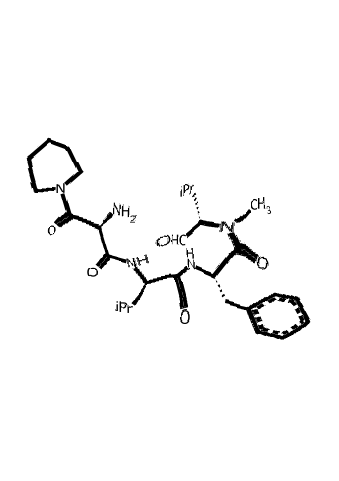 CC(C)[C@@H](C=O)N(C)C(=O)[C@H](Cc1ccccc1)NC(=O)[C@H](NC(=O)[C@H](N)C(=O)N1CCCCC1)C(C)C